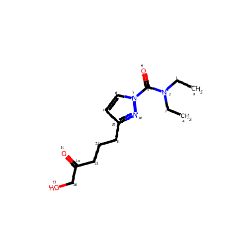 CCN(CC)C(=O)n1ccc(CCCC(=O)CO)n1